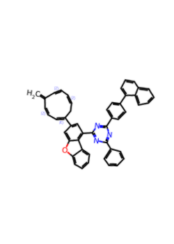 C=C1/C=C\C=C/C/C(c2cc(-c3nc(-c4ccccc4)nc(-c4ccc(-c5cccc6ccccc56)cc4)n3)c3c(c2)oc2ccccc23)=C\C=C/1